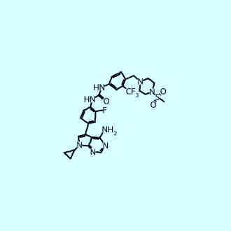 CS(=O)(=O)N1CCN(Cc2ccc(NC(=O)Nc3ccc(-c4cn(C5CC5)c5ncnc(N)c45)cc3F)cc2C(F)(F)F)CC1